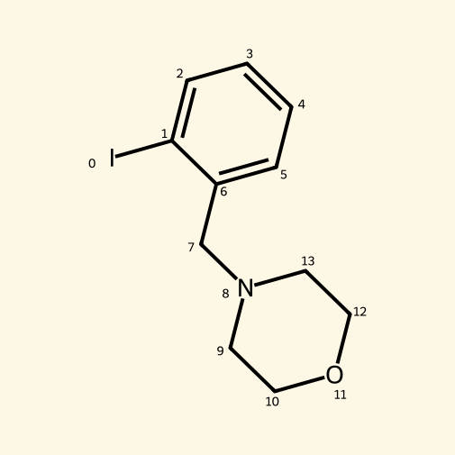 Ic1ccccc1CN1CCOCC1